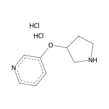 Cl.Cl.c1cncc(OC2CCNC2)c1